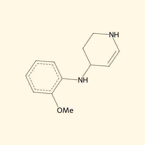 COc1ccccc1NC1C=CNCC1